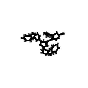 N#Cc1ccc(-c2cc(-c3ccc4sc5ccccc5c4c3)cc(-c3cccc4sc5ccccc5c34)c2)c(C#N)c1